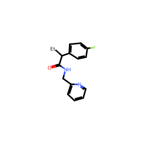 CCC(C(=O)NCc1ccccn1)c1ccc(F)cc1